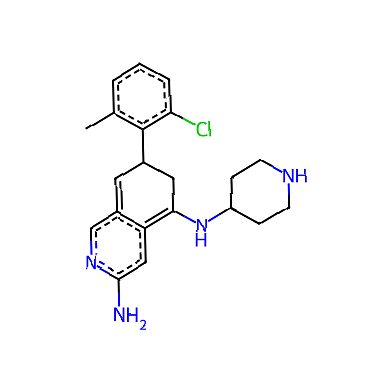 Cc1cccc(Cl)c1C1C=c2cnc(N)cc2=C(NC2CCNCC2)C1